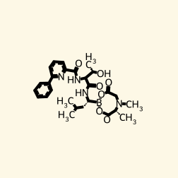 CC(C)C[C@H](NC(=O)C(NC(=O)c1cccc(-c2ccccc2)n1)[C@@H](C)O)B1OC(=O)CN(C)[C@H](C)C(=O)O1